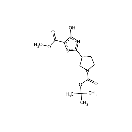 COC(=O)c1sc(C2CCN(C(=O)OC(C)(C)C)C2)nc1O